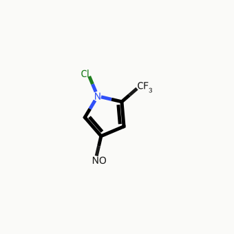 O=Nc1cc(C(F)(F)F)n(Cl)c1